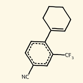 N#Cc1ccc(C2=CCCCC2)c(C(F)(F)F)c1